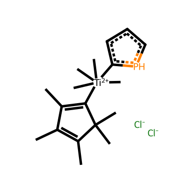 CC1=C(C)C(C)(C)[C]([Ti+2]([CH3])([CH3])([CH3])([CH3])[c]2ccc[pH]2)=C1C.[Cl-].[Cl-]